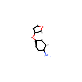 NC1CC=C(OC2CCOC2)CC1